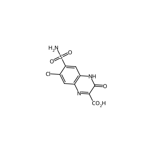 NS(=O)(=O)c1cc2[nH]c(=O)c(C(=O)O)nc2cc1Cl